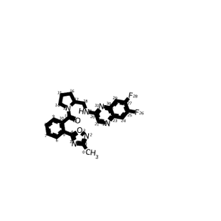 Cc1noc(-c2ccccc2C(=O)N2CCCC2CNc2cnc3cc(F)c(F)cc3n2)n1